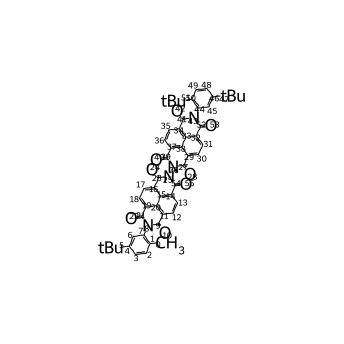 Cc1ccc(C(C)(C)C)cc1N1C(=O)c2ccc3c4c(ccc(c24)C1=O)C(=O)N(N1C(=O)c2ccc4c5c(ccc(c25)C1=O)C(=O)N(c1cc(C(C)(C)C)ccc1C(C)(C)C)C4=O)C3=O